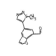 Cn1nncc1-c1cc(C=O)c2occc2c1